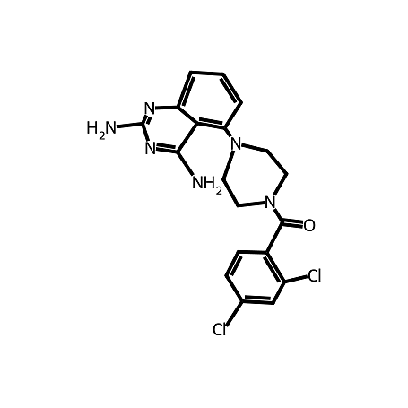 Nc1nc(N)c2c(N3CCN(C(=O)c4ccc(Cl)cc4Cl)CC3)cccc2n1